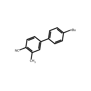 CCCCc1ccc(-c2ccc(C#N)c(C)c2)cc1